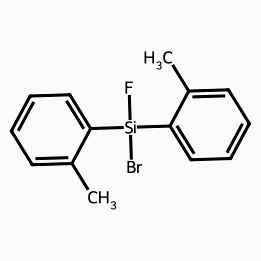 Cc1ccccc1[Si](F)(Br)c1ccccc1C